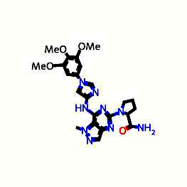 COc1cc(-n2cnc(Nc3nc(N4CCCC4C(N)=O)nc4cnn(C)c34)c2)cc(OC)c1OC